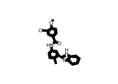 COc1ccc(C(=O)Nc2ccc(C)c(-c3nc4ccccc4[nH]3)c2)cc1Cl